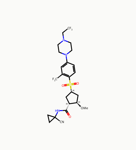 CO[C@@H]1C[C@H](S(=O)(=O)c2ccc(N3CCN(CC(F)(F)F)CC3)cc2C(F)(F)F)C[C@H]1C(=O)NC1(C#N)CC1